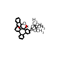 CC1(C)OB(c2ccc3c(c2)C2(c4ccccc4Oc4c2ccc2ccccc42)c2ccccc2-c2ccccc2-3)OC1(C)C